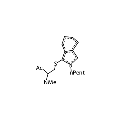 CCCCCn1cc2ccccc2c1SCC(NC)C(C)=O